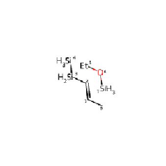 CC=C[SiH2][SiH3].CCO[SiH3]